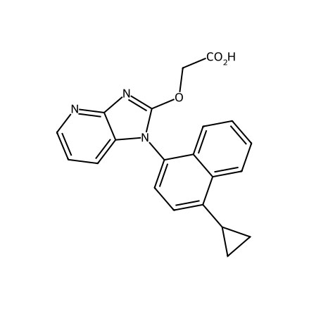 O=C(O)COc1nc2ncccc2n1-c1ccc(C2CC2)c2ccccc12